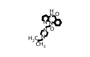 C=C(C)CN1CCN(CC(=O)N2c3ccccc3C(=O)Nc3cccnc32)CC1